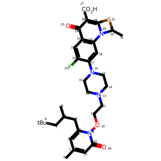 Cc1cc(CC(C)CC(C)(C)C)n(OCCN2CCN(c3cc4c(cc3F)c(=O)c(C(=O)O)c3n4C(C)S3)CC2)c(=O)c1